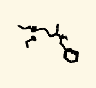 CCO[SiH](CCC(C)NCc1ccccc1)OCC